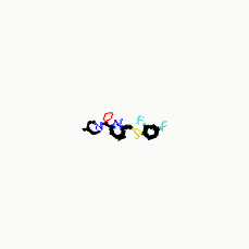 CC1CCN(C(=O)c2cccc(CSc3ccc(F)cc3F)n2)CC1